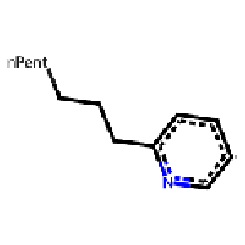 CCCCCCCCc1cc[c]cn1